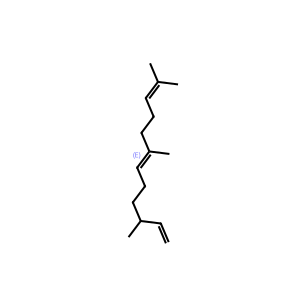 C=CC(C)CC/C=C(\C)CCC=C(C)C